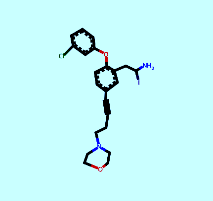 NC(I)Cc1cc(C#CCCN2CCOCC2)ccc1Oc1cccc(Cl)c1